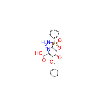 Cn1c(C(N)(c2ccccc2)[SH](=O)=O)cc(=O)c(OCc2ccccc2)c1C(=O)O